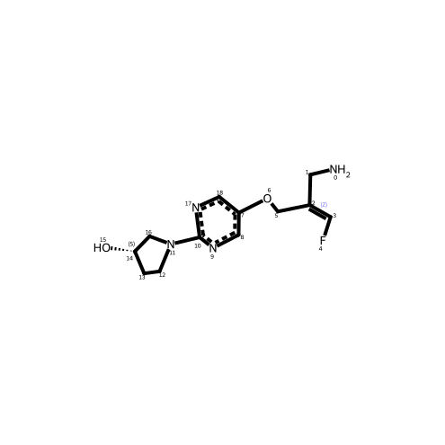 NC/C(=C/F)COc1cnc(N2CC[C@H](O)C2)nc1